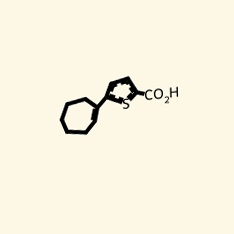 O=C(O)c1ccc(C2=CCCCCC2)s1